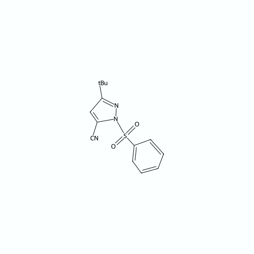 CC(C)(C)c1cc(C#N)n(S(=O)(=O)c2ccccc2)n1